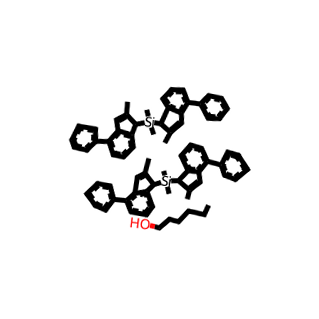 CC1=Cc2c(-c3ccccc3)cccc2C1[Si](C)(C)C1C(C)=Cc2c(-c3ccccc3)cccc21.CC1=Cc2c(-c3ccccc3)cccc2C1[Si](C)(C)C1C(C)=Cc2c(-c3ccccc3)cccc21.CCCCCCO